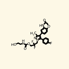 Cc1nn(CC(F)(F)COC(=O)NCCO)c(-c2ccc(F)cc2)c1-c1ccc2c(c1)NC(=O)CO2